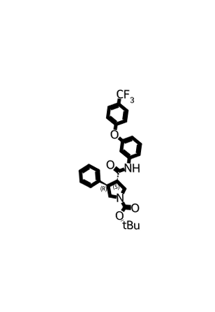 CC(C)(C)OC(=O)N1C[C@@H](C(=O)Nc2cccc(Oc3ccc(C(F)(F)F)cc3)c2)[C@H](c2ccccc2)C1